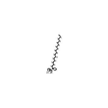 CCCCCCCCCCCCCCCCCC(=O)N(C)OC